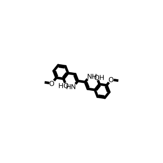 COc1cccc(C=C([NH])C([NH])=Cc2cccc(OC)c2O)c1O